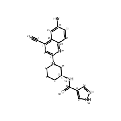 N#Cc1cc(N2CCC[C@H](NC(=O)c3cn[nH]c3)C2)nc2ccc(Br)cc12